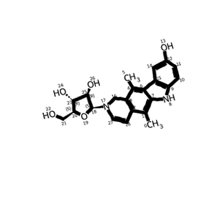 Cc1c2c(c(C)c3c1[nH]c1ccc(O)cc13)CN([C@H]1O[C@@H](CO)[C@H](O)[C@H]1O)C=C2